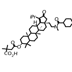 CC(C)C1=C2[C@H]3CCC4[C@@]5(C)CC[C@H](OC(=O)CC(C)(C)C(=O)O)C(C)(C)C5CC[C@@]4(C)[C@]3(C)CC[C@@]2(CCN(C)C(=O)C2CCCCC2)CC1=O